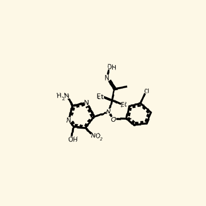 CCC(CC)(C(C)=NO)N(Oc1cccc(Cl)c1)c1nc(N)nc(O)c1[N+](=O)[O-]